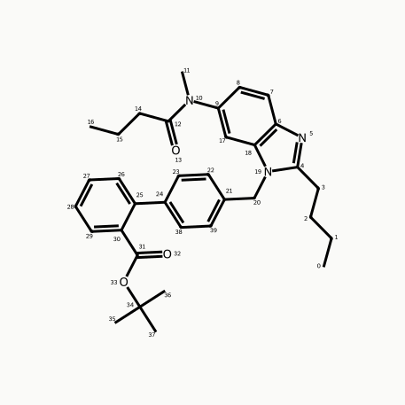 CCCCc1nc2ccc(N(C)C(=O)CCC)cc2n1Cc1ccc(-c2ccccc2C(=O)OC(C)(C)C)cc1